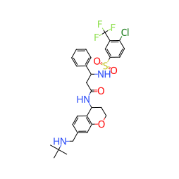 CC(C)(C)NCc1ccc2c(c1)OCCC2NC(=O)CC(NS(=O)(=O)c1ccc(Cl)c(C(F)(F)F)c1)c1ccccc1